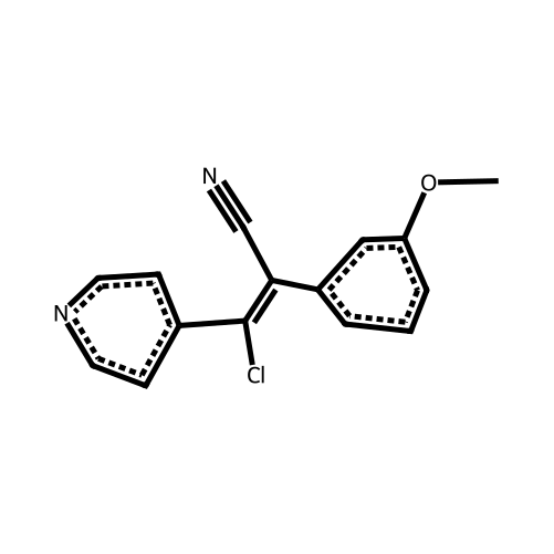 COc1cccc(C(C#N)=C(Cl)c2ccncc2)c1